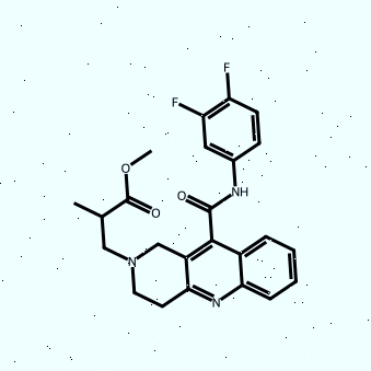 COC(=O)C(C)CN1CCc2nc3ccccc3c(C(=O)Nc3ccc(F)c(F)c3)c2C1